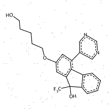 OCCCCCOc1cc(-c2cncnc2)c2c(c1)C(O)(C(F)(F)F)c1ccccc1-2